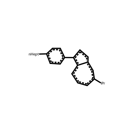 CCCCCCCc1ccc(-c2ccc3cc(C(C)C)cccc2-3)cc1